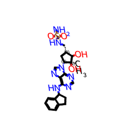 C[C@@]1(O)C(O)[C@@H](CNS(N)(=O)=O)C[C@H]1n1cnc2c(NC3CCc4ccccc43)ncnc21